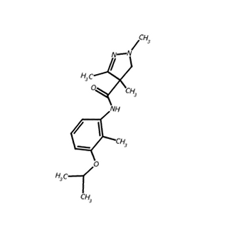 CC1=NN(C)CC1(C)C(=O)Nc1cccc(OC(C)C)c1C